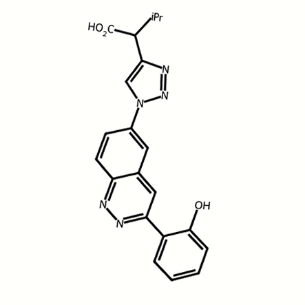 CC(C)C(C(=O)O)c1cn(-c2ccc3nnc(-c4ccccc4O)cc3c2)nn1